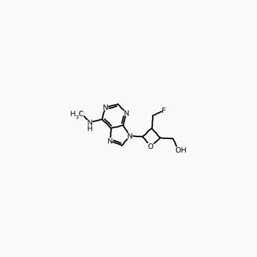 CNc1ncnc2c1ncn2C1OC(CO)C1CF